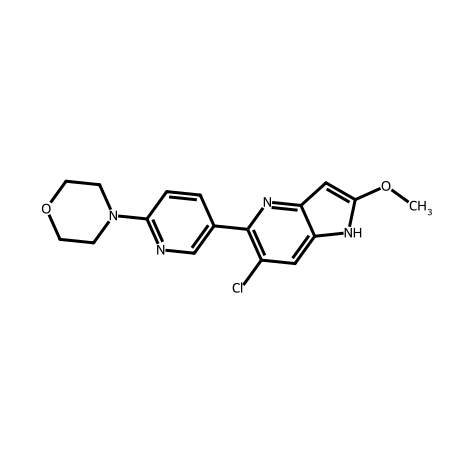 COc1cc2nc(-c3ccc(N4CCOCC4)nc3)c(Cl)cc2[nH]1